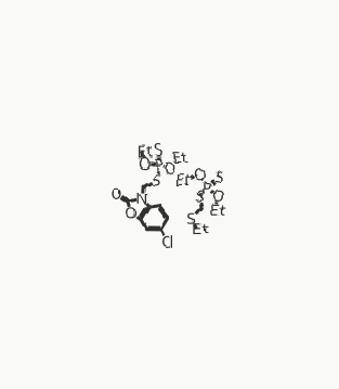 CCOP(=S)(OCC)SCSCC.CCOP(=S)(OCC)SCn1c(=O)oc2cc(Cl)ccc21